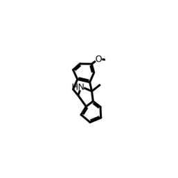 COc1ccc2c(c1)C1(C)NC(C2)c2ccccc21